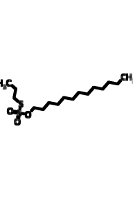 CCCCCCCCCCCCCOS(=O)(=O)SCCC